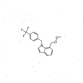 COOCc1cccc2ccn(Cc3ccc(C(F)(F)F)cc3)c12